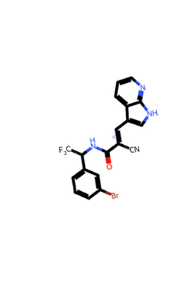 N#C/C(=C\c1c[nH]c2ncccc12)C(=O)NC(c1cccc(Br)c1)C(F)(F)F